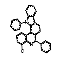 Clc1cccc2c1nc(-c1ccccc1)c1ccc3c4ccccc4n(-c4ccccc4)c3c12